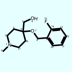 CN1CCC(CO)(OCc2ccccc2F)CC1